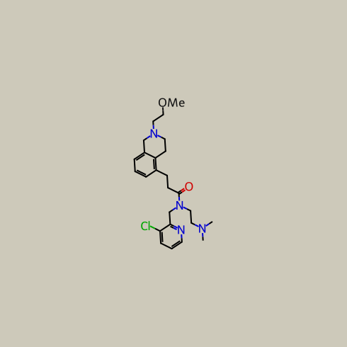 COCCN1CCc2c(CCC(=O)N(CCN(C)C)Cc3ncccc3Cl)cccc2C1